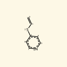 [CH]=CSc1ccncc1